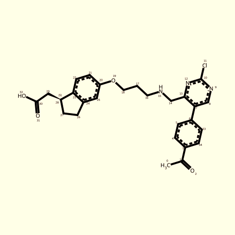 CC(=O)c1ccc(-c2cnc(Cl)nc2CNCCCOc2ccc3c(c2)CC[C@H]3CC(=O)O)cc1